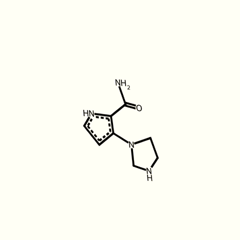 NC(=O)c1[nH]ccc1N1CCNC1